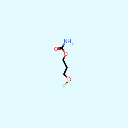 NC(=O)OCCCOF